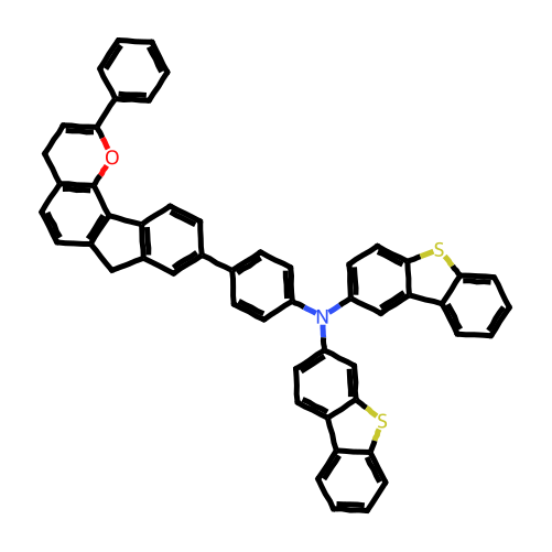 C1=C(c2ccccc2)Oc2c(ccc3c2-c2ccc(-c4ccc(N(c5ccc6c(c5)sc5ccccc56)c5ccc6sc7ccccc7c6c5)cc4)cc2C3)C1